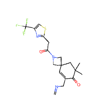 C=NCC1=CC2(CN(C(=O)Cc3nc(C(F)(F)F)cs3)C2)CC(C)(C)C1=O